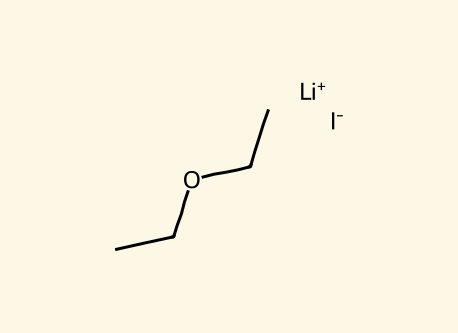 CCOCC.[I-].[Li+]